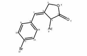 CC(=O)C1C(=O)OCC1=Cc1ccc(Br)cc1